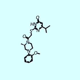 COc1ccccc1N1CCN(C(=O)CSc2nc(C(C)C)cc(=O)[nH]2)[C@H](C)C1